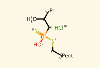 CCCC(C)CSP(O)(=S)CC(C)C(C)C.Cl